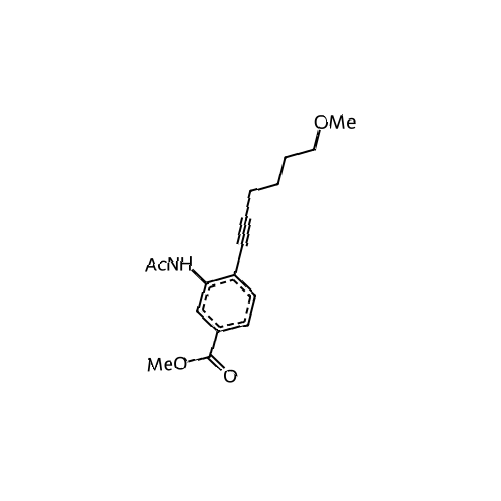 COCCCCC#Cc1ccc(C(=O)OC)cc1NC(C)=O